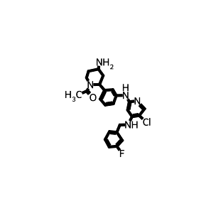 CC(=O)N1CCC(N)CC1c1cccc(Nc2cc(NCc3cccc(F)c3)c(Cl)cn2)c1